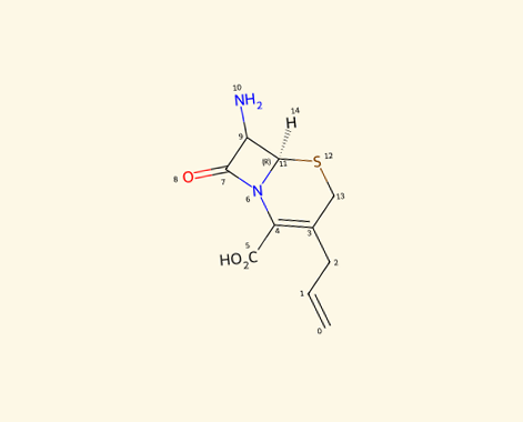 C=CCC1=C(C(=O)O)N2C(=O)C(N)[C@H]2SC1